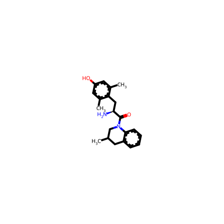 Cc1cc(O)cc(C)c1C[C@H](N)C(=O)N1CC(C)Cc2ccccc21